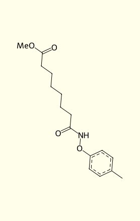 COC(=O)CCCCCCC(=O)NOc1ccc(C)cc1